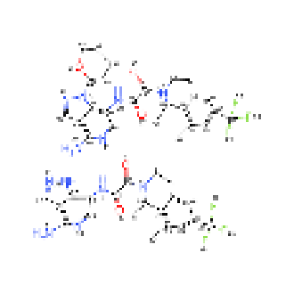 CCN(C(=O)C(=O)Nc1cnc(N)c2cn[nH]c12)C(C)c1ccc(C(F)(F)F)cc1C.CCN(C(=O)C(=O)Nc1cnc(N)c2cnn(C3CCCCO3)c12)C(C)c1ccc(C(F)(F)F)cc1C